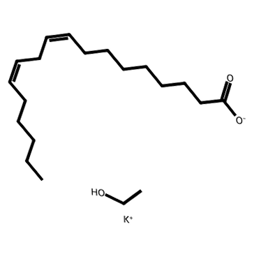 CCCCC/C=C\C/C=C\CCCCCCCC(=O)[O-].CCO.[K+]